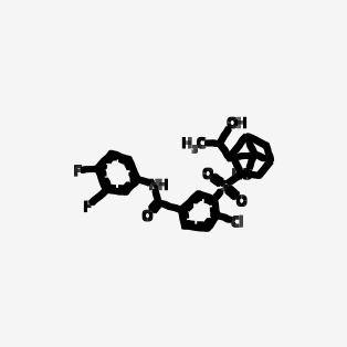 CC(O)CC1(O)C2CC1CC(S(=O)(=O)c1cc(C(=O)Nc3ccc(F)c(F)c3)ccc1Cl)C2